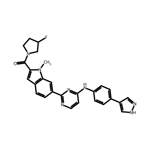 Cn1c(C(=O)N2CCC(F)C2)cc2ccc(-c3nccc(Nc4ccc(-c5cn[nH]c5)cc4)n3)cc21